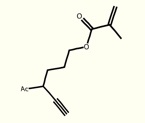 C#CC(CCCOC(=O)C(=C)C)C(C)=O